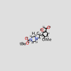 COc1ccc2c(c1C(C)CN1CCN(C(=O)OC(C)(C)C)CC1)OCC2=O